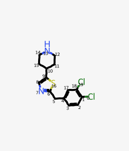 Clc1ccc(Cc2ncc(C3CCNCC3)s2)cc1Cl